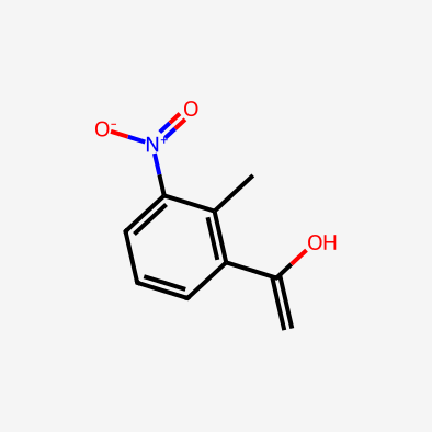 C=C(O)c1cccc([N+](=O)[O-])c1C